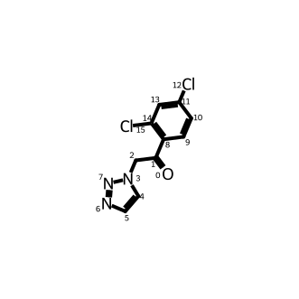 O=C(Cn1ccnn1)c1ccc(Cl)cc1Cl